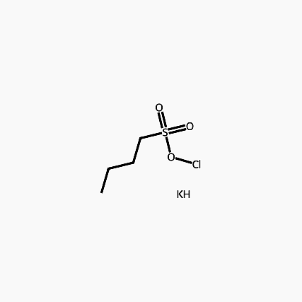 CCCCS(=O)(=O)OCl.[KH]